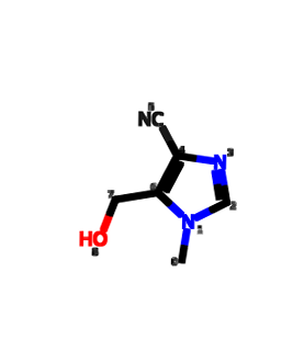 Cn1cnc(C#N)c1CO